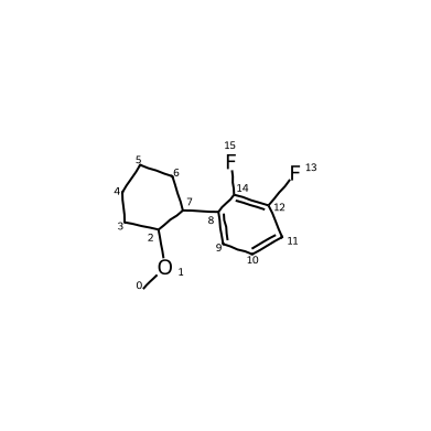 COC1CCCCC1c1cccc(F)c1F